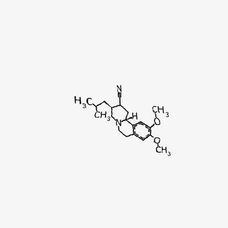 COc1cc2c(cc1OC)[C@H]1CC(C#N)[C@H](CC(C)C)CN1CC2